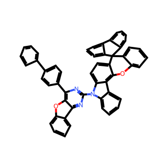 c1ccc(-c2ccc(-c3nc(-n4c5ccccc5c5c6c(ccc54)C4(c5ccccc5O6)c5ccccc5-c5ccccc54)nc4c3oc3ccccc34)cc2)cc1